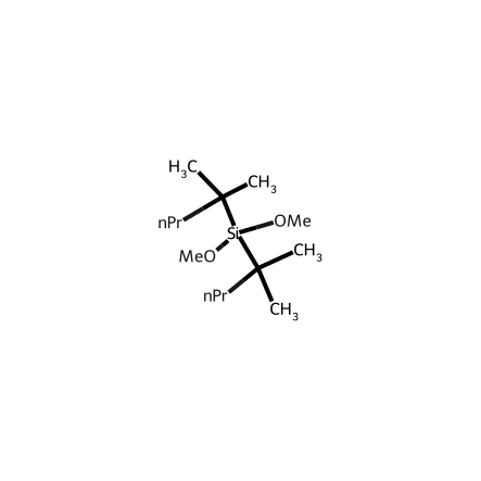 CCCC(C)(C)[Si](OC)(OC)C(C)(C)CCC